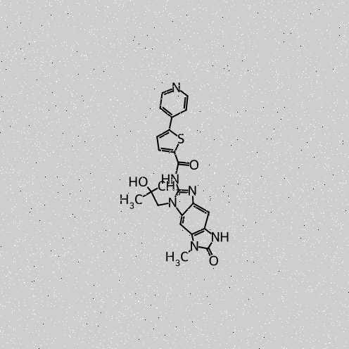 Cn1c(=O)[nH]c2cc3nc(NC(=O)c4ccc(-c5ccncc5)s4)n(CC(C)(C)O)c3cc21